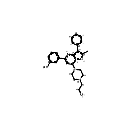 Bc1cccc(-c2cc(N3CCN(CCO)CC3)n3nc(C)c(-c4ccccc4)c3n2)c1